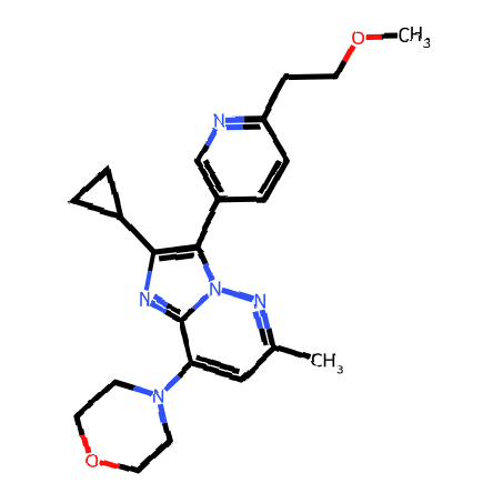 COCCc1ccc(-c2c(C3CC3)nc3c(N4CCOCC4)cc(C)nn23)cn1